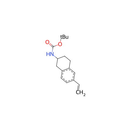 C=Cc1ccc2c(c1)CCC(NC(=O)OC(C)(C)C)C2